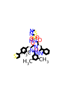 Cc1cc(C)cc(C(=O)N(C)[C@H](Cc2ccc(-c3ccsc3)cc2)C(=O)N[C@@H](Cc2c[nH]c3ccccc23)C(=O)NS(=O)(=O)c2nncs2)c1